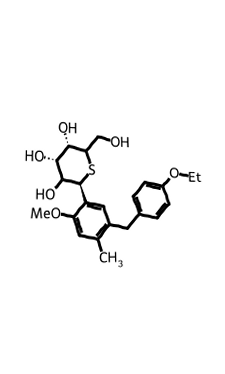 CCOc1ccc(Cc2cc([C@@H]3SC(CO)[C@@H](O)[C@@H](O)C3O)c(OC)cc2C)cc1